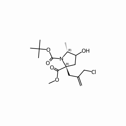 C=C(CCl)C[C@]1(C(=O)OC)CC(O)[C@@H](C)N1C(=O)OC(C)(C)C